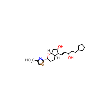 O=C(O)c1csc([C@H]2CC[C@@H]3C(/C=C/C(O)CCC4CCCC4)[C@H](O)C[C@@H]3O2)n1